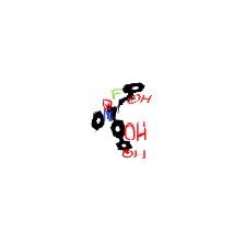 O=C1[C@H](CC[C@H](O)c2ccccc2F)[C@@H](c2ccc(-c3ccc(O)cc3)c(O)c2)N1c1ccccc1